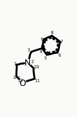 [CH]1CN(Cc2ccccc2)CCO1